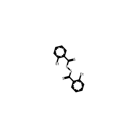 CCc1ccccc1C(=S)SSC(=S)c1ccccc1CC